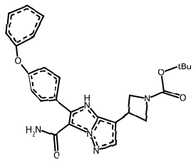 CC(C)(C)OC(=O)N1CC(c2cnn3c(C(N)=O)c(-c4ccc(Oc5ccccc5)cc4)[nH]c23)C1